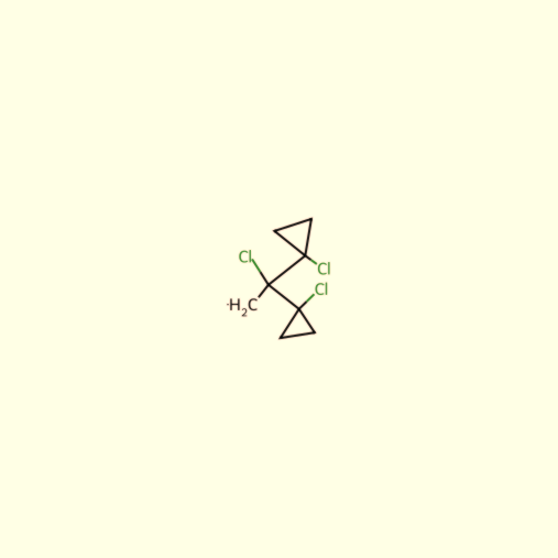 [CH2]C(Cl)(C1(Cl)CC1)C1(Cl)CC1